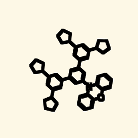 c1ccc2c(c1)Oc1ccccc1N2c1cc(-c2cc(C3CCCC3)cc(C3CCCC3)c2)cc(-c2cc(C3CCCC3)cc(C3CCCC3)c2)c1